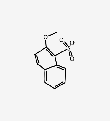 COc1ccc2ccccc2c1S([O])(=O)=O